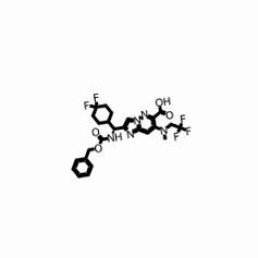 CN(CC(F)(F)F)c1cc2nc([C@@H](NC(=O)OCc3ccccc3)C3CCC(F)(F)CC3)cn2nc1C(=O)O